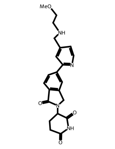 COCCNCc1ccnc(-c2ccc3c(c2)CN(C2CCC(=O)NC2=O)C3=O)c1